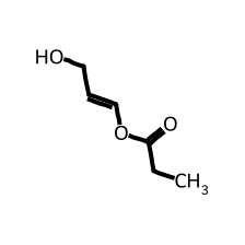 CCC(=O)OC=CCO